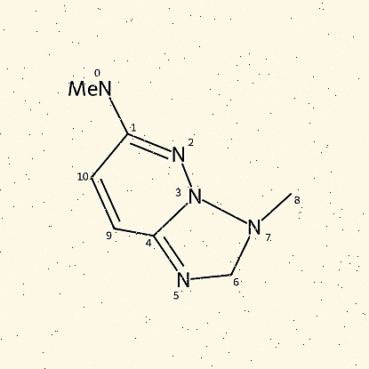 CNC1=NN2C(=NCN2C)C=C1